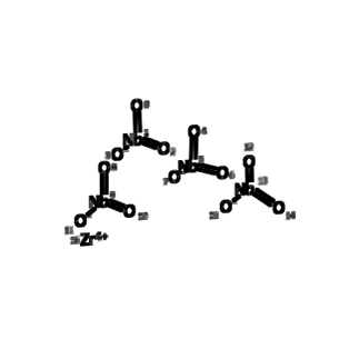 [O]=[Nb](=[O])[O-].[O]=[Nb](=[O])[O-].[O]=[Nb](=[O])[O-].[O]=[Nb](=[O])[O-].[Zr+4]